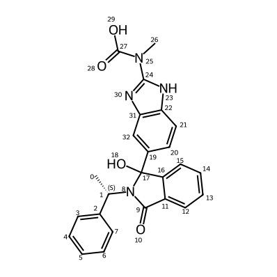 C[C@@H](c1ccccc1)N1C(=O)c2ccccc2C1(O)c1ccc2[nH]c(N(C)C(=O)O)nc2c1